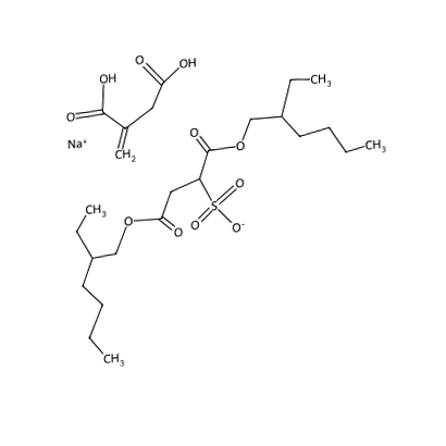 C=C(CC(=O)O)C(=O)O.CCCCC(CC)COC(=O)CC(C(=O)OCC(CC)CCCC)S(=O)(=O)[O-].[Na+]